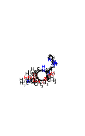 CC[C@H]1OC(=O)[C@H](C)C(=O)[C@@H](C)[C@@H](O[C@@H]2O[C@H](C)CC(N(C)C)C2O)[C@](C)(OC)C[C@@H](C)CN[C@H](C)[C@H]2N(CCCCn3cc(-c4ccccn4)nn3)C(=O)O[C@]12C